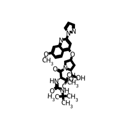 COc1ccc2c(OC3C[C@@H](C(=O)O)N(C(=O)[C@@H](NC(=O)NC(C)(C)C)C(C)(C)C)C3)cc(-n3cccn3)nc2c1